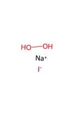 OO.[I-].[Na+]